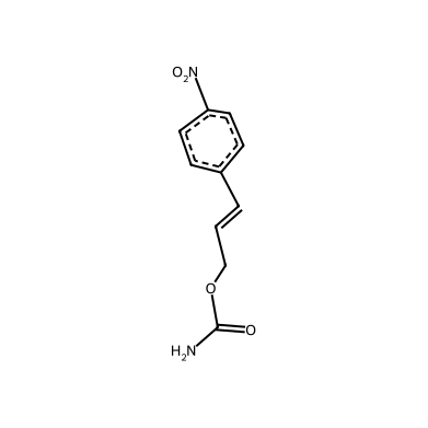 NC(=O)OCC=Cc1ccc([N+](=O)[O-])cc1